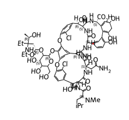 CCO[C@H](CC(N)(CC)[C@@H](C)O)OC1[C@@H](Oc2c3cc4cc2Oc2ccc(cc2Cl)[C@@H](O)[C@@H](NC(=O)[C@@H](CC(C)C)NC)C(=O)N[C@@H](CC(N)=O)C(=O)N[C@H]4C(=N)N[C@H]2C(=O)N[C@H](C(=O)N[C@H](C(=O)O)C4=CC(O)CC(O)=C4c4cc2ccc4O)[C@H](O)c2ccc(c(Cl)c2)O3)OC(CO)C(O)[C@@H]1O